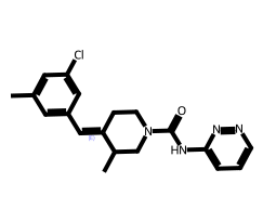 Cc1cc(Cl)cc(/C=C2\CCN(C(=O)Nc3cccnn3)CC2C)c1